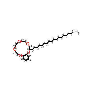 CCCCCCCCCCCCCCCCCCC1COCCOCCOCCOc2ccccc2O1